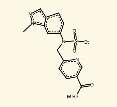 CCS(=O)(=O)N(Cc1ccc(C(=O)OC)cn1)c1ccc2cnn(C)c2c1